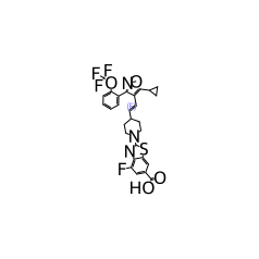 O=C(O)c1cc(F)c2nc(N3CCC(/C=C/c4c(-c5ccccc5OC(F)(F)F)noc4C4CC4)CC3)sc2c1